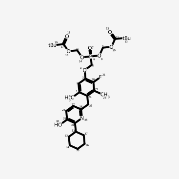 Cc1cc(OCP(=O)(OCOC(=O)C(C)(C)C)OCOC(=O)C(C)(C)C)c(F)c(C)c1Cc1ccc(O)c(C2CCCCC2)n1